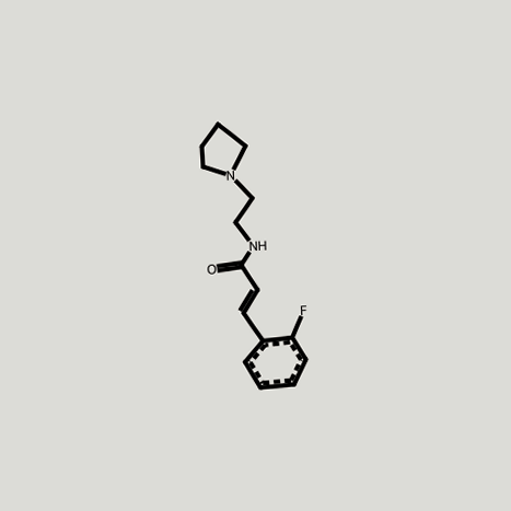 O=C(C=Cc1ccccc1F)NCCN1CCCC1